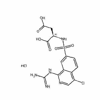 Cl.N=C(N)Nc1ncc(Cl)c2ccc(S(=O)(=O)N[C@H](CC(=O)O)C(=O)O)cc12